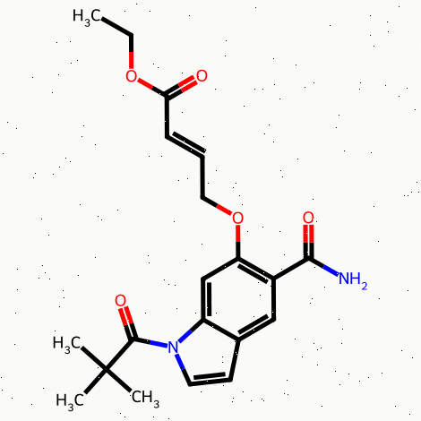 CCOC(=O)/C=C/COc1cc2c(ccn2C(=O)C(C)(C)C)cc1C(N)=O